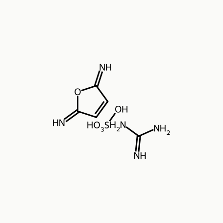 N=C(N)N.N=C1C=CC(=N)O1.O=S(=O)(O)O